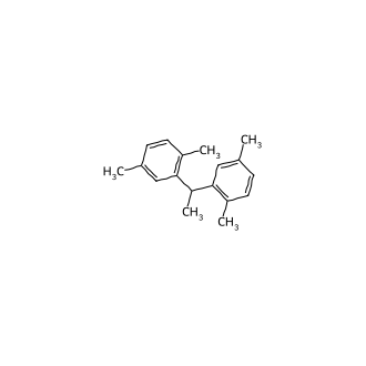 Cc1ccc(C)c(C(C)c2cc(C)ccc2C)c1